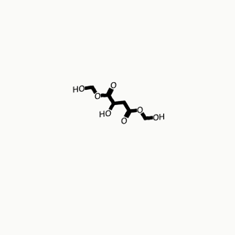 O=C(CC(O)C(=O)OCO)OCO